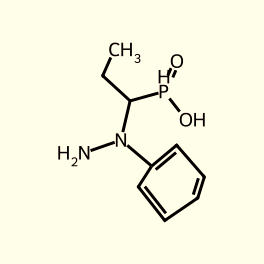 CCC(N(N)c1ccccc1)[PH](=O)O